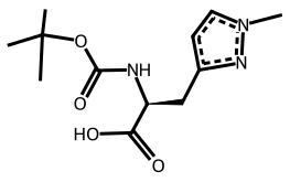 Cn1ccc(C[C@H](NC(=O)OC(C)(C)C)C(=O)O)n1